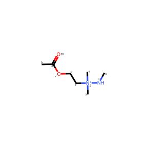 CN[N+](C)(C)CCOC(C)=O